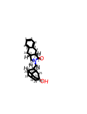 O=C1[C@H]2Cc3ccccc3C[C@H]2CN1C[C@H]1[C@@H]2CC3C[C@H]1C[C@](O)(C3)C2